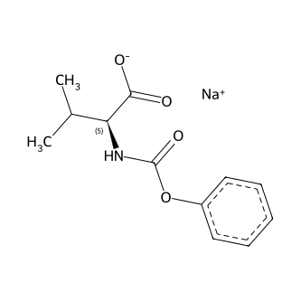 CC(C)[C@H](NC(=O)Oc1ccccc1)C(=O)[O-].[Na+]